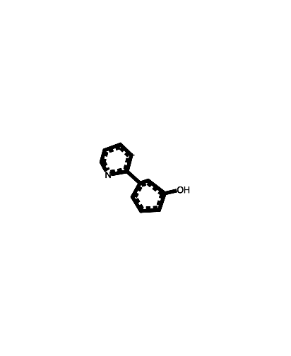 Oc1cccc(-c2[c]cccn2)c1